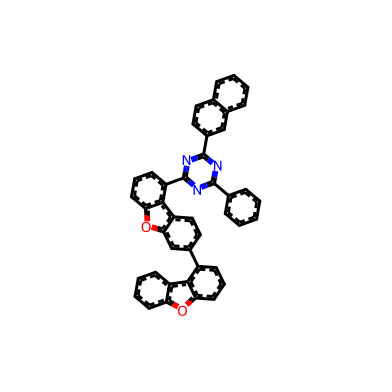 c1ccc(-c2nc(-c3ccc4ccccc4c3)nc(-c3cccc4oc5cc(-c6cccc7oc8ccccc8c67)ccc5c34)n2)cc1